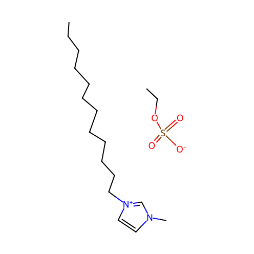 CCCCCCCCCCCC[n+]1ccn(C)c1.CCOS(=O)(=O)[O-]